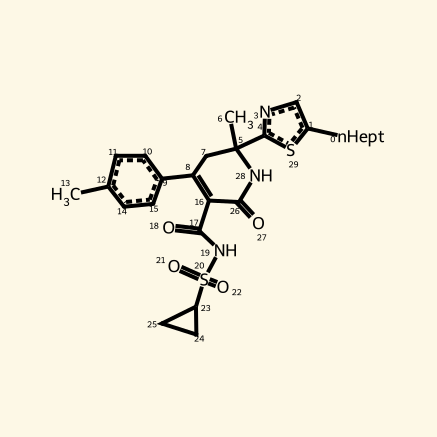 CCCCCCCc1cnc(C2(C)CC(c3ccc(C)cc3)=C(C(=O)NS(=O)(=O)C3CC3)C(=O)N2)s1